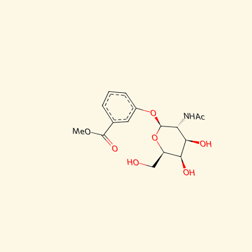 COC(=O)c1cccc(O[C@@H]2O[C@H](CO)[C@H](O)[C@H](O)[C@H]2NC(C)=O)c1